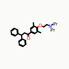 Cc1cc(C(=O)CC(c2ccccc2)c2ccccc2)cc(C)c1OCCN(C(C)C)C(C)C